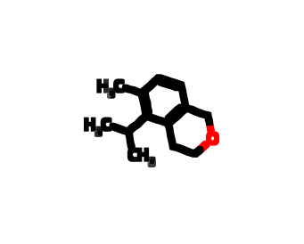 Cc1ccc2c(c1C(C)C)CCOC2